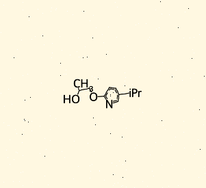 CC(O)COc1ccc(C(C)C)cn1